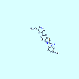 COc1cncc(-c2ccc3nc(Nc4cccc(C(C)(C)C)c4)sc3c2)c1